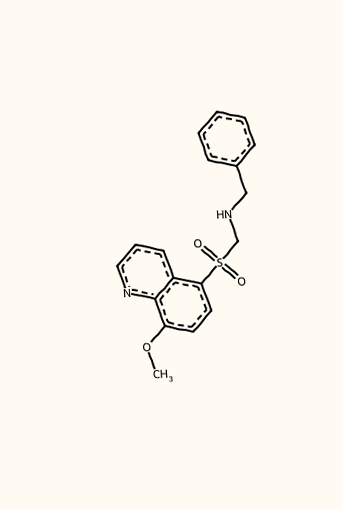 COc1ccc(S(=O)(=O)CNCc2ccccc2)c2cccnc12